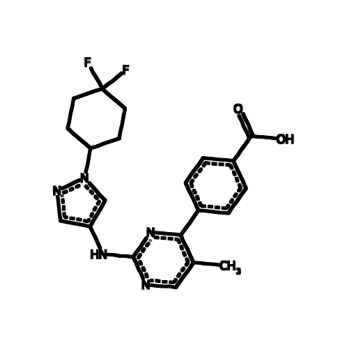 Cc1cnc(Nc2cnn(C3CCC(F)(F)CC3)c2)nc1-c1ccc(C(=O)O)cc1